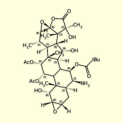 CC(=O)O[C@H]1C2C([C@@H](OC(=O)C(C)(C)C)[C@@H](N)[C@H]3C[C@@H]4O[C@@H]4[C@H](O)[C@]23C)[C@@H]2[C@@H](O)[C@@H]3[C@H]([C@H](C)[C@H]4O[C@]45OC(=O)[C@@](C)(O)[C@]35C)[C@@]2(C)[C@H]1OC(C)=O